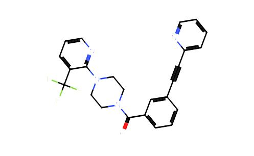 O=C(c1cccc(C#Cc2ccccn2)c1)N1CCN(c2ncccc2C(F)(F)F)CC1